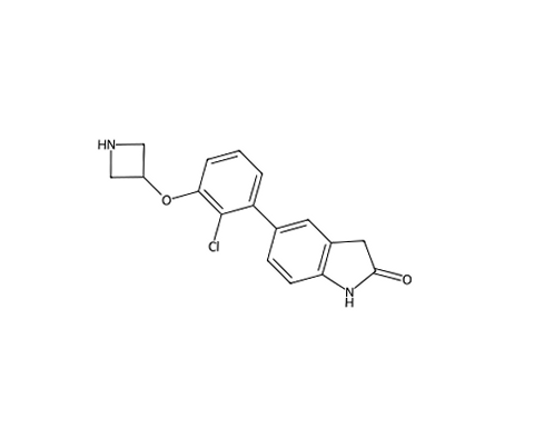 O=C1Cc2cc(-c3cccc(OC4CNC4)c3Cl)ccc2N1